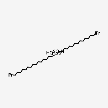 CC(C)CCCCCCCCCCCCCCCOCCCCCCCCCCCCCCCC(C)C.O=S(=O)(O)O